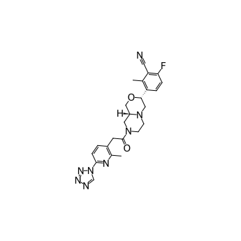 Cc1nc(-n2cnnn2)ccc1CC(=O)N1CCN2C[C@@H](c3ccc(F)c(C#N)c3C)OC[C@H]2C1